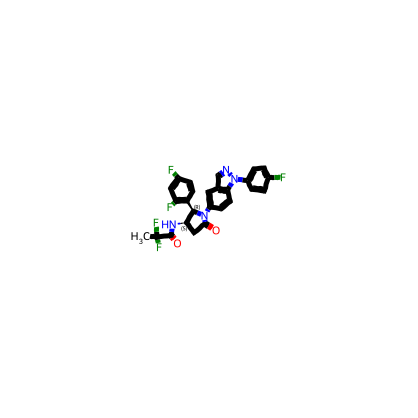 CC(F)(F)C(=O)N[C@H]1CC(=O)N(c2ccc3c(cnn3-c3ccc(F)cc3)c2)[C@@H]1c1ccc(F)cc1F